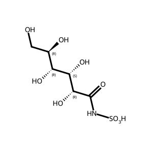 O=C(NS(=O)(=O)O)[C@H](O)[C@@H](O)[C@H](O)[C@H](O)CO